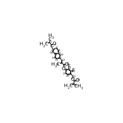 C=C(C)C(=O)Cc1ccc2cc(/C=C(\C)C(=O)Oc3ccc(COC(=O)C(=C)C)c(F)c3F)ccc2c1